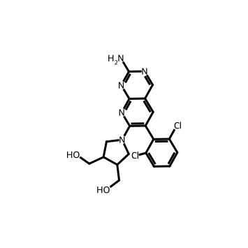 Nc1ncc2cc(-c3c(Cl)cccc3Cl)c(N3CC(CO)C(CO)C3)nc2n1